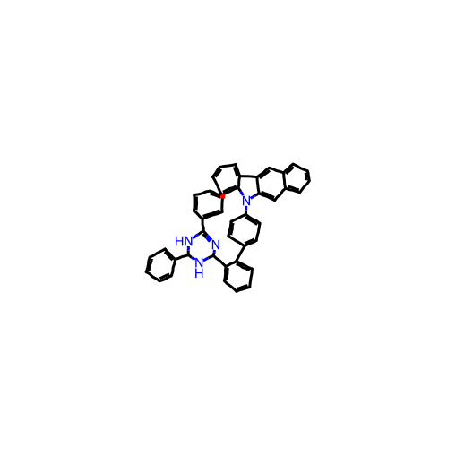 c1ccc(C2=NC(c3ccccc3-c3ccc(-n4c5ccccc5c5cc6ccccc6cc54)cc3)NC(c3ccccc3)N2)cc1